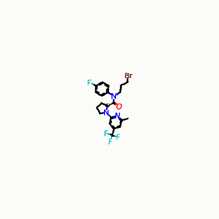 Cc1cc(C(F)(F)F)cc(N2CCC[C@H]2C(=O)N(CCCBr)c2ccc(F)cc2)n1